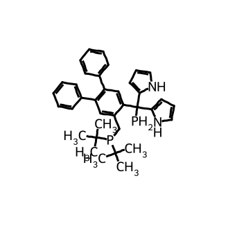 CC(C)(C)P(Cc1cc(-c2ccccc2)c(-c2ccccc2)cc1C(P)(c1ccc[nH]1)c1ccc[nH]1)C(C)(C)C